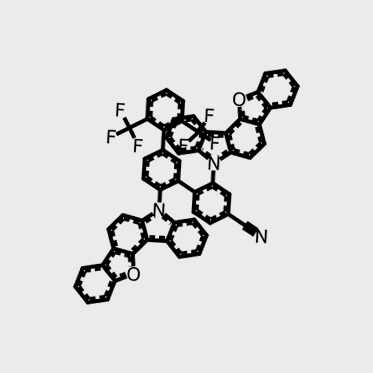 N#Cc1ccc(-c2cc(-c3c(C(F)(F)F)cccc3C(F)(F)F)ccc2-n2c3ccccc3c3c4oc5ccccc5c4ccc32)c(-n2c3ccccc3c3c4oc5ccccc5c4ccc32)c1